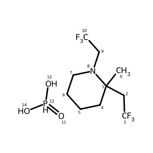 CC1(CC(F)(F)F)CCCCN1CC(F)(F)F.O=[PH](O)O